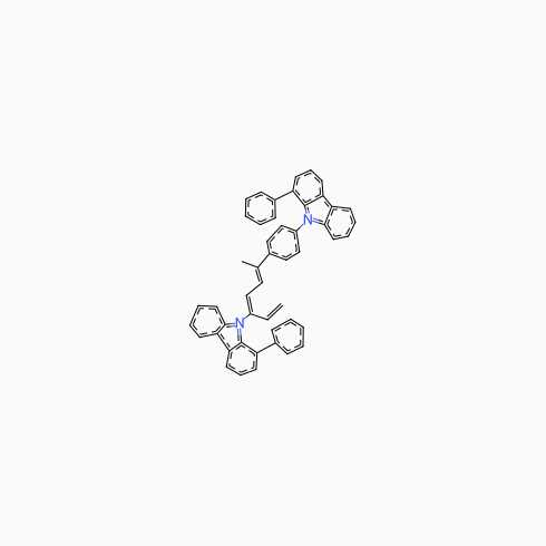 C=C/C(=C\C=C(/C)c1ccc(-n2c3ccccc3c3cccc(-c4ccccc4)c32)cc1)n1c2ccccc2c2cccc(-c3ccccc3)c21